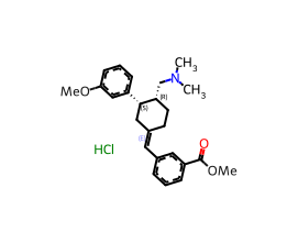 COC(=O)c1cccc(/C=C2\CC[C@@H](CN(C)C)[C@@H](c3cccc(OC)c3)C2)c1.Cl